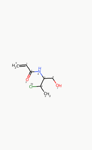 C=CC(=O)NC(CO)C(C)Cl